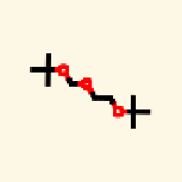 CC(C)(C)OCCOCOC(C)(C)C